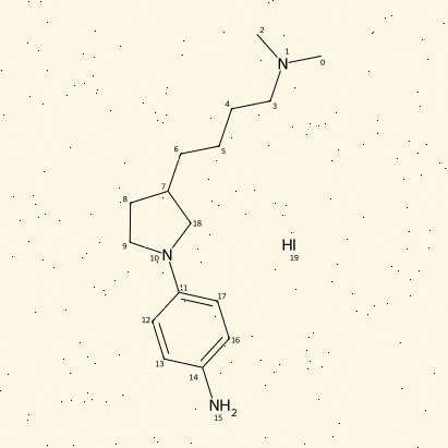 CN(C)CCCCC1CCN(c2ccc(N)cc2)C1.I